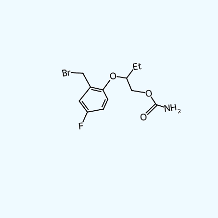 CCC(COC(N)=O)Oc1ccc(F)cc1CBr